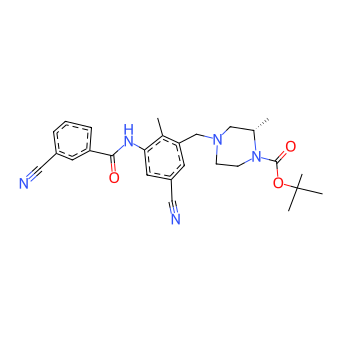 Cc1c(CN2CCN(C(=O)OC(C)(C)C)[C@@H](C)C2)cc(C#N)cc1NC(=O)c1cccc(C#N)c1